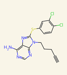 C#CCCCn1c(Sc2ccc(Cl)c(Cl)c2)nc2c(N)ncnc21